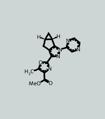 COC(=O)c1nc(-c2nn(-c3cnccn3)c3c2C[C@@H]2C[C@H]32)oc1C